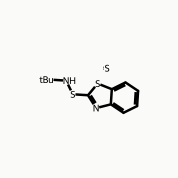 CC(C)(C)NSc1nc2ccccc2s1.[S]